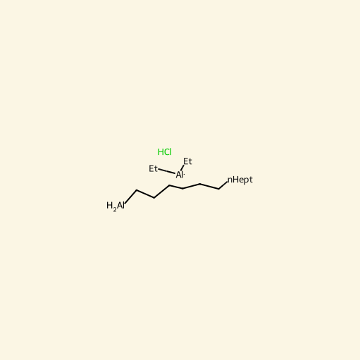 CCCCCCCCCCCC[CH2][AlH2].C[CH2][Al][CH2]C.Cl